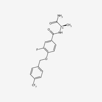 C[C@@H](NC(=O)c1ccc(OCc2ccc(C(F)(F)F)cc2)c(F)c1)C(N)=O